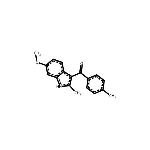 COc1ccc2c(C(=O)c3ccc(C)cc3)c(C)[nH]c2c1